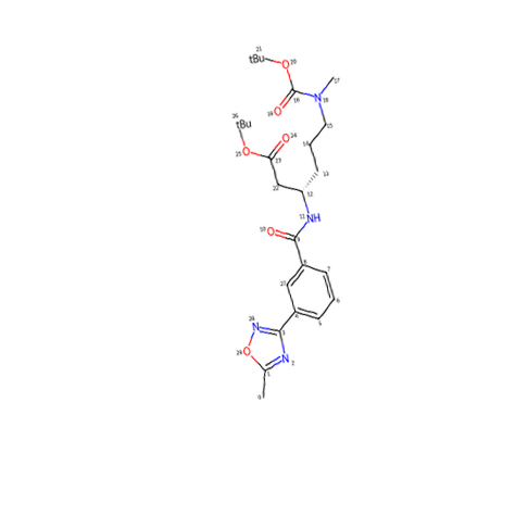 Cc1nc(-c2cccc(C(=O)N[C@@H](CCCN(C)C(=O)OC(C)(C)C)CC(=O)OC(C)(C)C)c2)no1